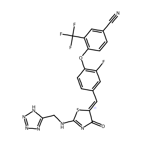 N#Cc1ccc(Oc2ccc(/C=C3\SC(NCc4nnn[nH]4)=NC3=O)cc2F)c(C(F)(F)F)c1